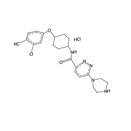 Cl.N#Cc1ccc(OC2CCC(NC(=O)c3ccc(N4CCNCC4)nn3)CC2)cc1Cl